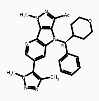 CC(=O)c1nn(C)c2c3ncc(-c4c(C)nnn4C)cc3n([C@H](c3ccccc3)C3CCOCC3)c12